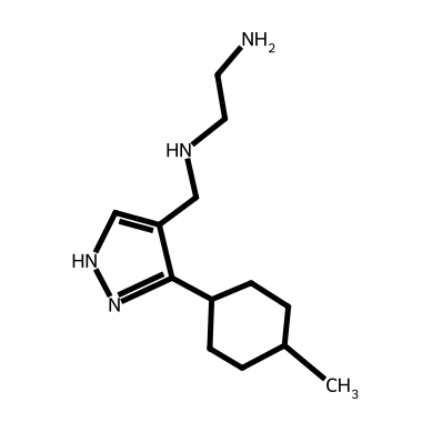 CC1CCC(c2n[nH]cc2CNCCN)CC1